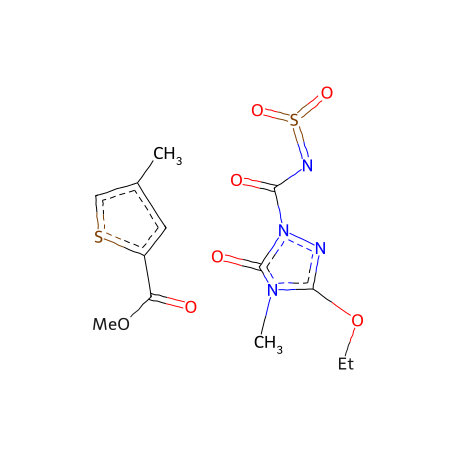 CCOc1nn(C(=O)N=S(=O)=O)c(=O)n1C.COC(=O)c1cc(C)cs1